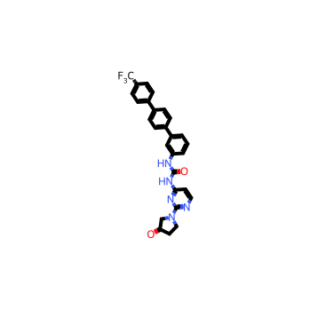 O=C1CCN(c2nccc(NC(=O)Nc3cccc(-c4ccc(-c5ccc(C(F)(F)F)cc5)cc4)c3)n2)C1